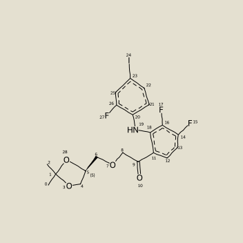 CC1(C)OC[C@H](COCC(=O)c2ccc(F)c(F)c2Nc2ccc(I)cc2F)O1